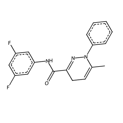 CC1=CCC(C(=O)Nc2cc(F)cc(F)c2)=NN1c1ccccc1